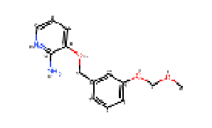 COCOc1cccc(COc2cccnc2N)c1